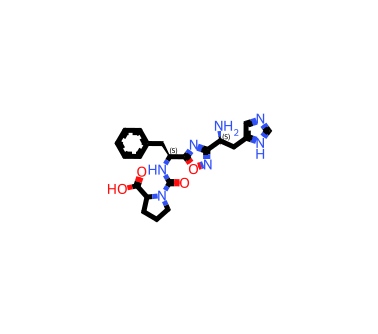 N[C@@H](Cc1cnc[nH]1)c1noc([C@H](Cc2ccccc2)NC(=O)N2CCCC2C(=O)O)n1